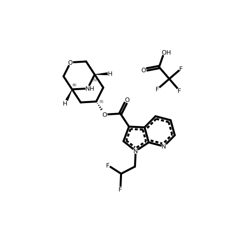 O=C(O)C(F)(F)F.O=C(O[C@H]1C[C@H]2COC[C@@H](C1)N2)c1cn(CC(F)F)c2ncccc12